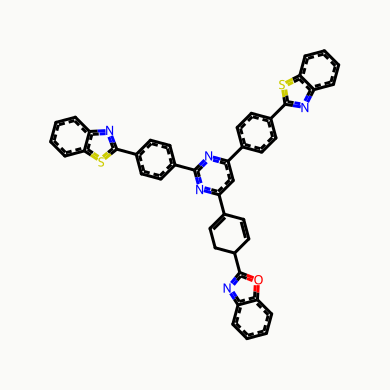 C1=CC(c2nc3ccccc3o2)CC=C1c1cc(-c2ccc(-c3nc4ccccc4s3)cc2)nc(-c2ccc(-c3nc4ccccc4s3)cc2)n1